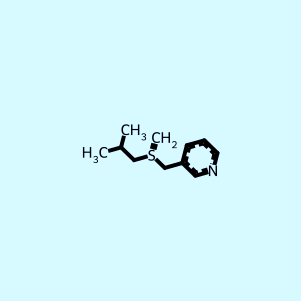 C=S(Cc1cccnc1)CC(C)C